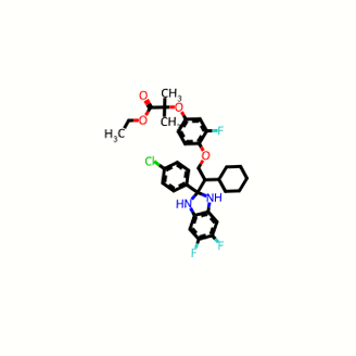 CCOC(=O)C(C)(C)Oc1ccc(OCC(C2CCCCC2)C2(c3ccc(Cl)cc3)Nc3cc(F)c(F)cc3N2)c(F)c1